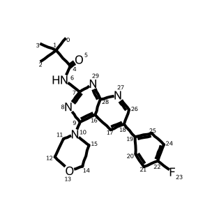 CC(C)(C)C(=O)Nc1nc(N2CCOCC2)c2cc(-c3ccc(F)cc3)cnc2n1